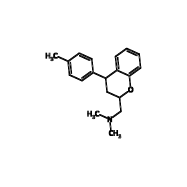 Cc1ccc(C2CC(CN(C)C)Oc3ccccc32)cc1